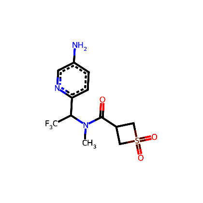 CN(C(=O)C1CS(=O)(=O)C1)C(c1ccc(N)cn1)C(F)(F)F